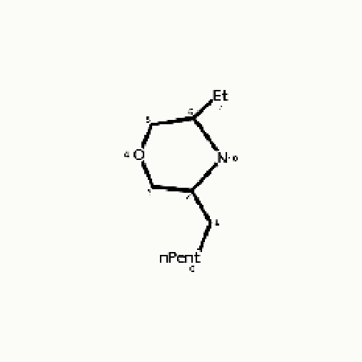 CCCCCCC1COCC(CC)[N]1